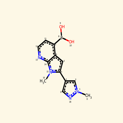 Cn1cc(-c2cc3c(B(O)O)ccnc3n2C)cn1